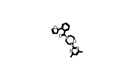 Cc1cc(C)nc(N2CCN(C(=O)c3ccccc3C3CC=CO3)CCO2)n1